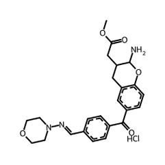 COC(=O)CC1Cc2cc(C(=O)c3ccc(C=NN4CCOCC4)cc3)ccc2OC1N.Cl